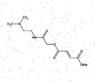 COC(=O)/C=C/C(=O)OCC(=O)NCCN(C)C